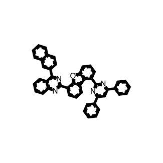 c1ccc(-c2cc(-c3ccccc3)nc(-c3cccc4oc5c(-c6nc(-c7ccc8ccccc8c7)c7ccccc7n6)cccc5c34)n2)cc1